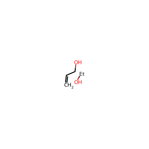 C=CCO.CCO